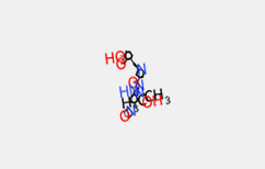 CC(C)(O)Cn1/c(=N/C(=O)c2ccnc(C#Cc3cccc(O)c3C=O)c2)[nH]c2ccc(CN3CCOCC3)cc21